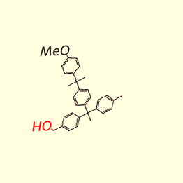 COc1ccc(C(C)(C)c2ccc(C(C)(c3ccc(C)cc3)c3ccc(CO)cc3)cc2)cc1